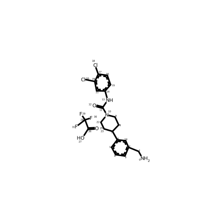 NCc1cccc(C2CCN(C(=O)Nc3ccc(Cl)c(Cl)c3)CC2)c1.O=C(O)C(F)(F)F